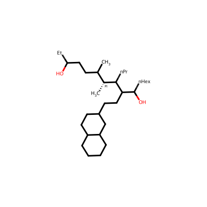 CCCCCCC(O)C(CCC1CCC2CCCCC2C1)C(CCC)[C@H](C)C(C)CCC(O)CC